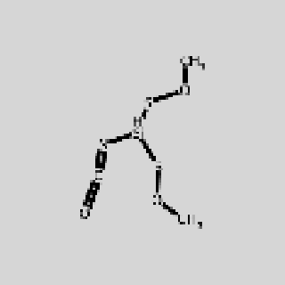 COS[SiH](N=C=O)SOC